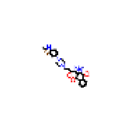 Cc1nc2ccc(N3CCN(CCC(=O)c4nn(C)c5c4C(=O)c4ccccc4C5=O)CC3)cc2s1